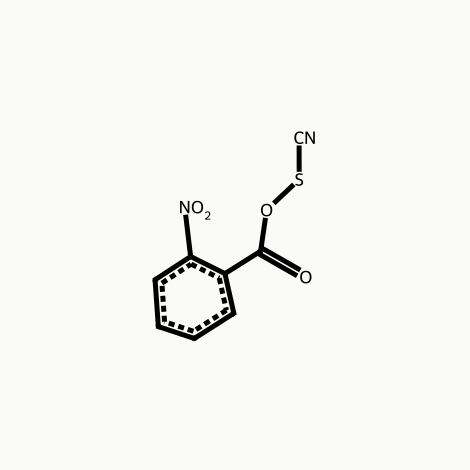 N#CSOC(=O)c1ccccc1[N+](=O)[O-]